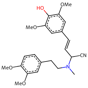 COc1ccc(CCN(C)C(C#N)C=Cc2cc(OC)c(O)c(OC)c2)cc1OC